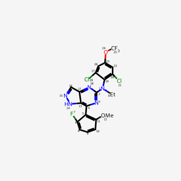 CCN(c1nc(-c2c(F)cccc2OC)c2[nH]ncc2n1)c1c(Cl)cc(OC(F)(F)F)cc1Cl